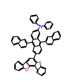 c1ccc(N(c2ccccc2)c2ccc3c(-c4ccc5ccccc5c4)c4cc(-c5cc6c7ccccc7oc6c6c5sc5ccccc56)ccc4c(-c4ccc5ccccc5c4)c3c2)cc1